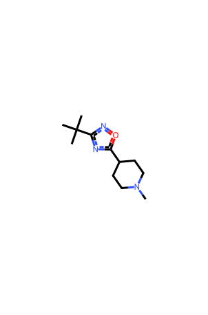 CN1CCC(c2nc(C(C)(C)C)no2)CC1